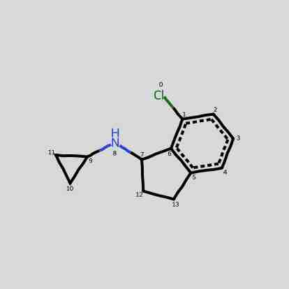 Clc1cccc2c1C(NC1CC1)CC2